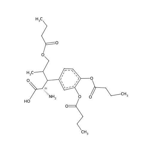 CCCC(=O)OCC(C)C(c1ccc(OC(=O)CCC)c(OC(=O)CCC)c1)[C@H](N)C(=O)O